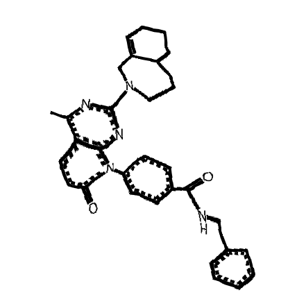 Cc1nc(N2CCC3CCCC=C3C2)nc2c1ccc(=O)n2-c1ccc(C(=O)NCc2ccccc2)cc1